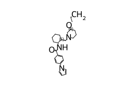 C=CCO[C@@H]1CCCN(C[C@@H]2CCCCC2NC(=O)c2ccc(-n3cccc3)cc2)C1